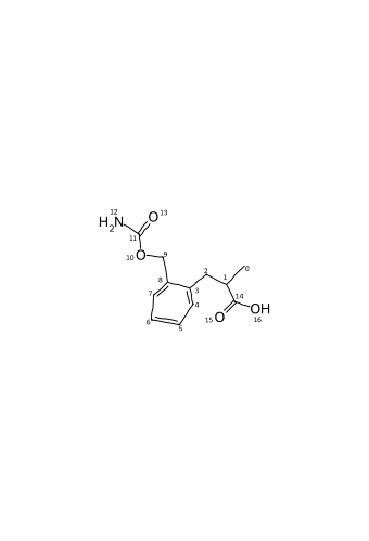 CC(Cc1ccccc1COC(N)=O)C(=O)O